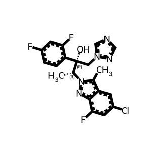 Cc1c2cc(Cl)cc(F)c2nn1[C@H](C)[C@](O)(Cn1cncn1)c1ccc(F)cc1F